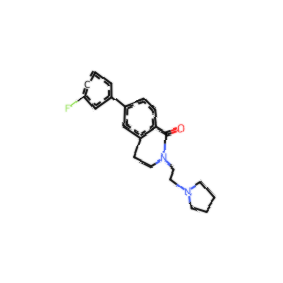 O=C1c2ccc(-c3cccc(F)c3)cc2CCN1CCN1CCCC1